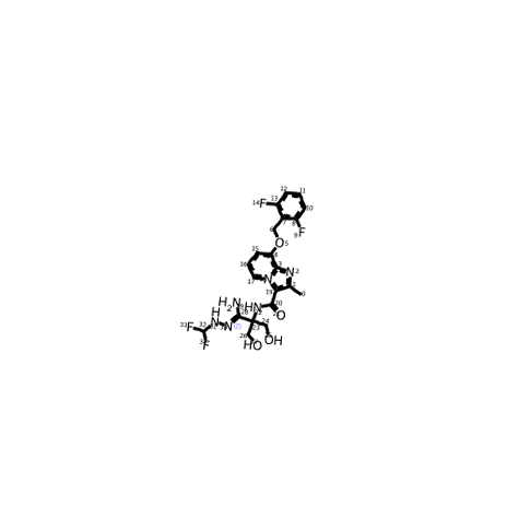 Cc1nc2c(OCc3c(F)cccc3F)cccn2c1C(=O)NC(CO)(CO)/C(N)=N/NC(F)F